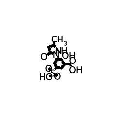 Cc1cc(=O)n(-c2cc(S(=O)(=O)O)cc(C(=O)O)c2O)[nH]1